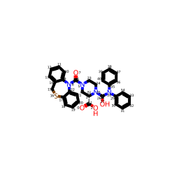 O=C(O)[C@@H]1CN(C(=O)N2c3ccccc3CSc3ccccc32)CCN1C(O)N(c1ccccc1)c1ccccc1